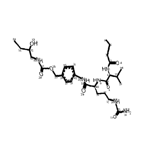 CCCC(=O)N[C@H](C(=O)N[C@@H](CCCNC(N)=O)C(=O)Nc1ccc(COC(=O)NCC(O)CC)cc1)C(C)C